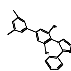 Cc1cc(C)cc(-c2cc(C(C)C)c(-n3ccnc3-c3ccccc3)c(C(C)C)c2)c1